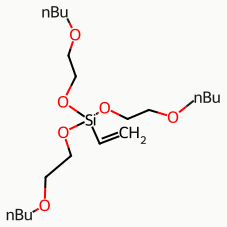 C=C[Si](OCCOCCCC)(OCCOCCCC)OCCOCCCC